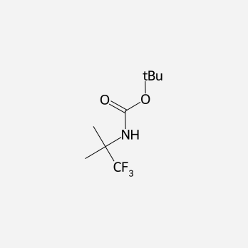 CC(C)(C)OC(=O)NC(C)(C)C(F)(F)F